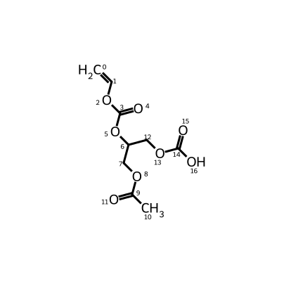 C=COC(=O)OC(COC(C)=O)COC(=O)O